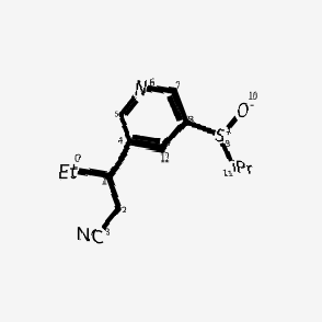 CCC(CC#N)c1cncc([S+]([O-])C(C)C)c1